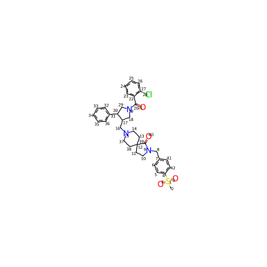 CS(=O)(=O)c1ccc(CN2CCC3(CCN(CC4CN(C(=O)c5ccccc5Cl)CC4c4ccccc4)CC3)C2=O)cc1